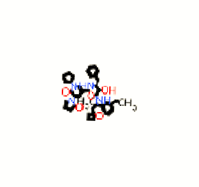 CCc1ccc2c(c1)C(C)(NC[C@@H](O)[C@H](Cc1ccccc1)NC(=O)c1cc(N3CCCC3=O)c(=O)n(C3CCCC3)c1)CC1(CCC1)O2